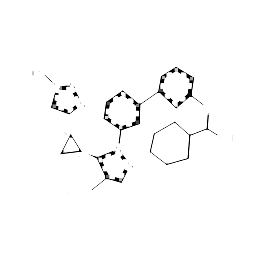 CC(Oc1cccc(-c2cccc(-n3ncc(C(=O)O)c3[C@H]3C[C@@H]3c3cn(C(C)C)nn3)c2)c1)C1CCCCC1